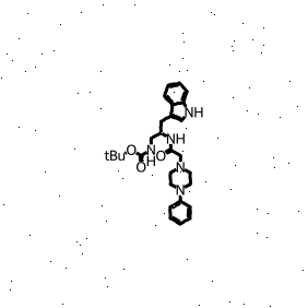 CC(C)(C)OC(=O)NCC(Cc1c[nH]c2ccccc12)NC(=O)CN1CCN(c2ccccc2)CC1